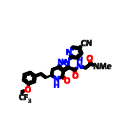 CNC(=O)CNC(=O)c1c2c(nn1-c1ccc(C#N)cn1)C[C@H](CCc1cccc(OCC(F)(F)F)c1)NC2=O